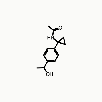 CC(=O)NC1(c2ccc(C(C)O)cc2)CC1